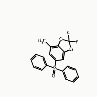 Cc1cc(P(=O)(c2ccccc2)c2ccccc2)cc2c1OC(F)(F)O2